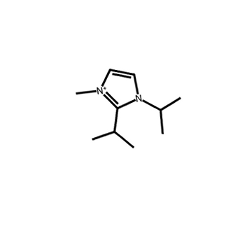 CC(C)c1n(C(C)C)cc[n+]1C